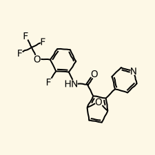 O=C(Nc1cccc(OC(F)(F)F)c1F)c1c(-c2ccncc2)c2ccc1o2